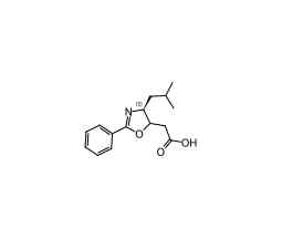 CC(C)C[C@@H]1N=C(c2ccccc2)OC1CC(=O)O